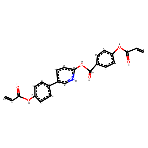 C=CC(=O)Oc1ccc(C(=O)Oc2ccc(-c3ccc(OC(=O)C=C)cc3)cn2)cc1